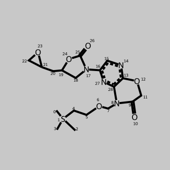 CS(C)(C)CCOCN1C(=O)COc2ncc(N3CC(CC4CO4)OC3=O)nc21